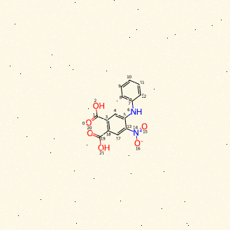 O=C(O)c1cc(Nc2ccccc2)c([N+](=O)[O-])cc1C(=O)O